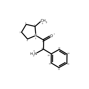 CC1CCCN1C(=O)C(N)c1ccccc1